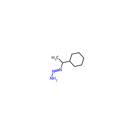 CC(N=NN)C1CCCCC1